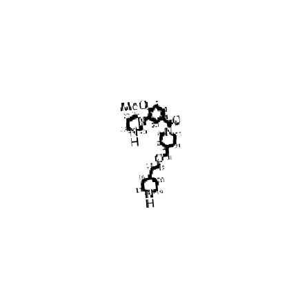 COc1ccc(C(=O)N2CCC(COCCC3CCNCC3)CC2)cc1N1C=CCNC1